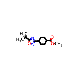 COC(=O)C1CCC(c2noc(C(C)C)n2)CC1